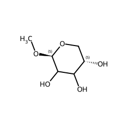 CO[C@H]1OC[C@H](O)C(O)C1O